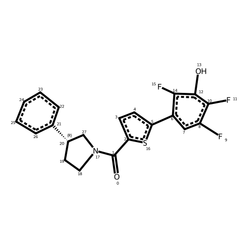 O=C(c1ccc(-c2cc(F)c(F)c(O)c2F)s1)N1CC[C@H](c2ccccc2)C1